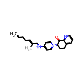 C=CCC/C=C(\C)CNc1cc[n+](C2CCc3cccnc3C2=O)cc1